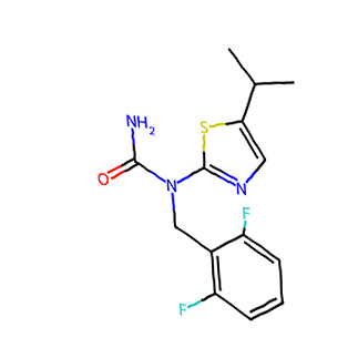 CC(C)c1cnc(N(Cc2c(F)cccc2F)C(N)=O)s1